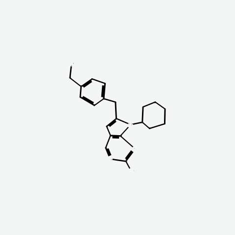 N#Cc1ncc2cc(Cc3ccc(CO)cc3)n(C3CCCCC3)c2n1